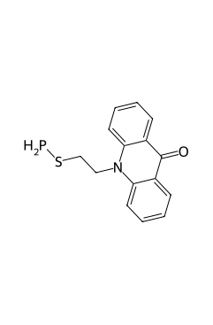 O=c1c2ccccc2n(CCSP)c2ccccc12